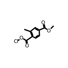 COC(=O)c1ccc(C(=O)OCl)c(C)c1